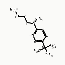 COCCN(C)c1ccc(C(C)(C)C)cn1